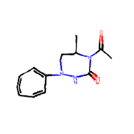 CC(=O)N1C(=O)NN(c2ccccc2)CC1C